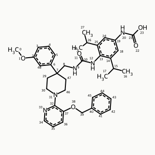 COc1cccc(C2(CNC(=O)Nc3c(C(C)C)cc(NC(=O)O)cc3C(C)C)CCN(c3ncccc3OCc3ccccc3)CC2)c1